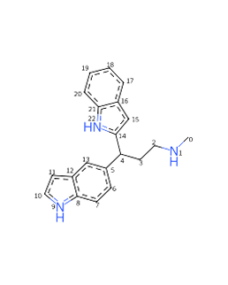 CNCCC(c1ccc2[nH]ccc2c1)c1cc2ccccc2[nH]1